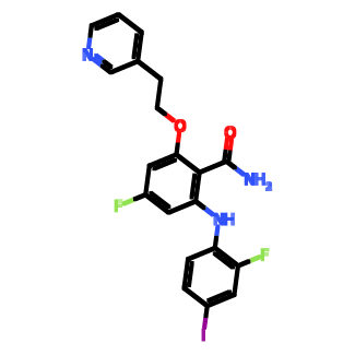 NC(=O)c1c(Nc2ccc(I)cc2F)cc(F)cc1OCCc1cccnc1